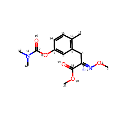 CO/N=C(\Cc1cc(OC(=O)N(C)C)ccc1C)C(=O)OC